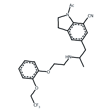 CC(=O)N1CCc2cc(CC(C)NCCOc3ccccc3OCC(F)(F)F)cc(C#N)c21